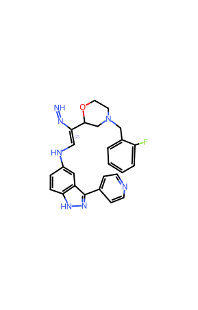 N=N/C(=C\Nc1ccc2[nH]nc(-c3ccncc3)c2c1)C1CN(Cc2ccccc2F)CCO1